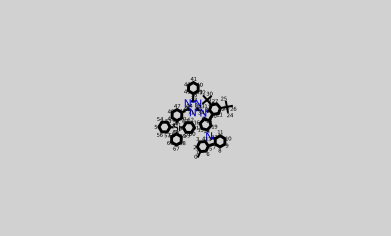 Cc1ccc2c(c1)c1ccccc1n2-c1ccc2c(c1)c1cc(C(C)(C)C)cc(C(C)(C)C)c1n2-c1nc(-c2ccccc2)nc(-c2cccc([Si](c3ccccc3)(c3ccccc3)c3ccccc3)c2)n1